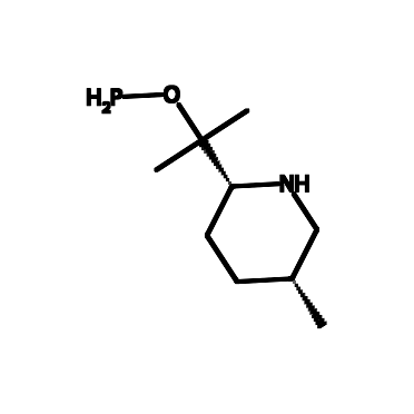 C[C@@H]1CC[C@H](C(C)(C)OP)NC1